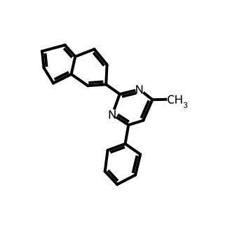 Cc1cc(-c2ccccc2)nc(-c2ccc3ccccc3c2)n1